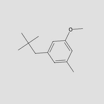 COc1cc(C)cc(CC(C)(C)C)c1